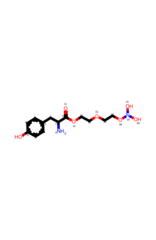 NC(Cc1ccc(O)cc1)C(=O)OCCOCCON(O)O